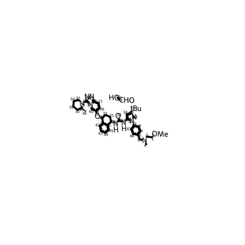 COCCN(C)Cc1ccc(-n2nc(C(C)(C)C)cc2NC(=O)N[C@H]2CC[C@@H](Oc3ccc4nnc(N5CCCC[C@@H]5C)n4c3)c3ccccc32)cc1.O=CO